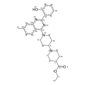 CCOC(=O)C1CCN(C2CCN(c3nc(-c4ccccc4O)nc4cc(C)ccc34)CC2)CC1